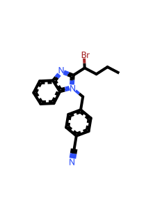 CCCC(Br)c1nc2ccccc2n1Cc1ccc(C#N)cc1